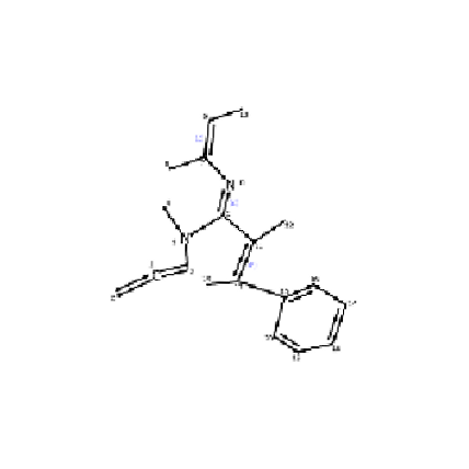 C=C=CN(C)C(=N\C(C)=C/C)/C(C)=C(\C)c1ccccc1